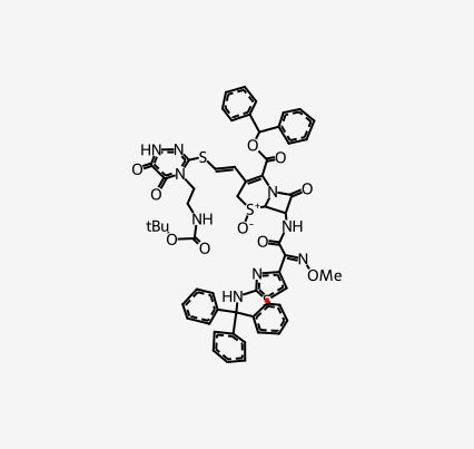 CON=C(C(=O)NC1C(=O)N2C(C(=O)OC(c3ccccc3)c3ccccc3)=C(C=CSc3n[nH]c(=O)c(=O)n3CCNC(=O)OC(C)(C)C)C[S+]([O-])C12)c1csc(NC(c2ccccc2)(c2ccccc2)c2ccccc2)n1